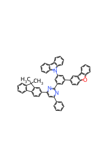 CC1(C)c2ccccc2-c2ccc(-c3cc(-c4ccccc4)nc(-c4cc(-c5ccc6oc7ccccc7c6c5)cc(-n5c6ccccc6c6ccccc65)c4)n3)cc21